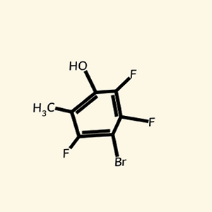 Cc1c(O)c(F)c(F)c(Br)c1F